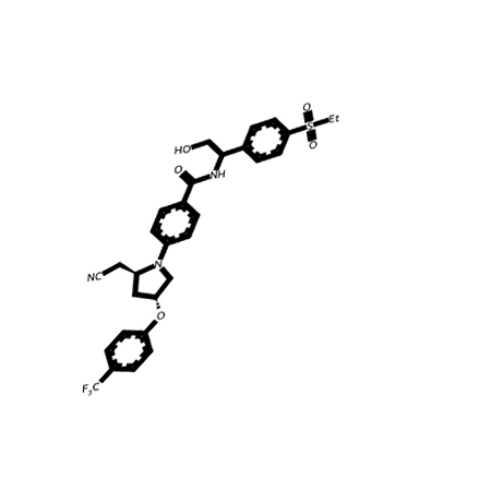 CCS(=O)(=O)c1ccc(C(CO)NC(=O)c2ccc(N3C[C@H](Oc4ccc(C(F)(F)F)cc4)C[C@H]3CC#N)cc2)cc1